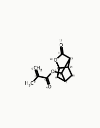 C=C(C)C(=O)OC1C2CC3OC(=O)C1C3C2